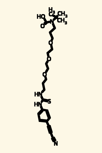 CC(C)(C)N(CCCOCCOCCOCCCNC(=S)Nc1ccc(C#CC#N)cc1)C(=O)O